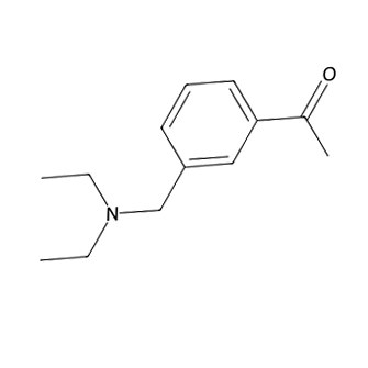 CCN(CC)Cc1cccc(C(C)=O)c1